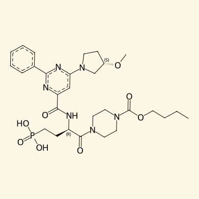 CCCCOC(=O)N1CCN(C(=O)[C@@H](CCP(=O)(O)O)NC(=O)c2cc(N3CC[C@H](OC)C3)nc(-c3ccccc3)n2)CC1